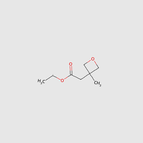 C[CH]OC(=O)CC1(C)COC1